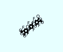 O=C1OC(=O)c2c(F)c(Oc3c(F)c(F)c(Oc4c(F)c(F)c5c(c4F)C(=O)OC5=O)c(F)c3F)c(F)c(F)c21